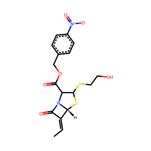 C/C=C1\C(=O)N2C(C(=O)OCc3ccc([N+](=O)[O-])cc3)C(SCCO)S[C@H]12